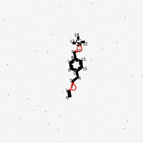 C=COCCc1ccc(CO[Si](C)(C)C)cc1